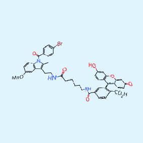 COc1ccc2c(c1)c(CCNC(=O)CCCCCNC(=O)c1ccc(C(=O)O)c(-c3c4ccc(=O)cc-4oc4cc(O)ccc34)c1)c(C)n2C(=O)c1ccc(Br)cc1